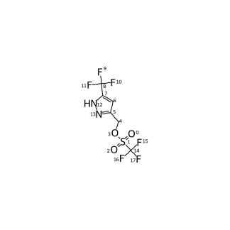 O=S(=O)(OCc1cc(C(F)(F)F)[nH]n1)C(F)(F)F